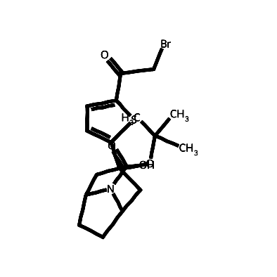 CC(C)(C)OC(=O)N1C2CCC1CC(O)(c1ccc(C(=O)CBr)s1)C2